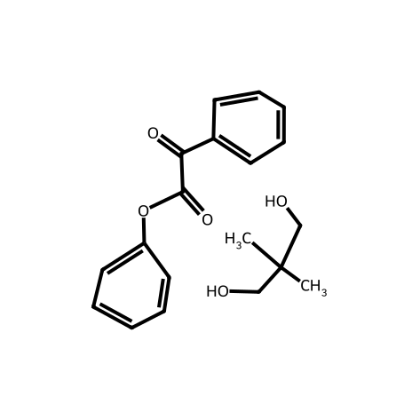 CC(C)(CO)CO.O=C(Oc1ccccc1)C(=O)c1ccccc1